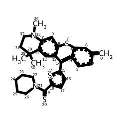 C=c1ccc2c(c1)Sc1cc3c(cc1C=2c1ccc(C(=S)N2CCCCC2)s1)C(C)(C)CCN3C